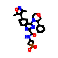 Cc1noc(C)c1-c1ccc2nc(C(=O)NC3CS(=O)(=O)C3)nc(N3CCOCC3c3ccccc3)c2c1